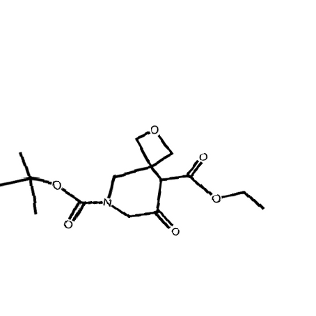 CCOC(=O)C1C(=O)CN(C(=O)OC(C)(C)C)CC12COC2